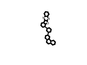 c1cc(-c2ccc3ccc4ccccc4c3c2)cc(-c2cccc3c2oc2nc4ccccc4nc23)c1